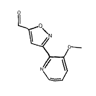 COc1cccnc1-c1cc(C=O)on1